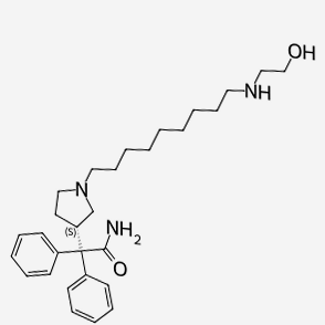 NC(=O)C(c1ccccc1)(c1ccccc1)[C@@H]1CCN(CCCCCCCCCNCCO)C1